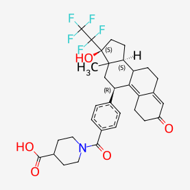 CC12C[C@H](c3ccc(C(=O)N4CCC(C(=O)O)CC4)cc3)C3=C4CCC(=O)C=C4CCC3[C@@H]1CC[C@@]2(O)C(F)(F)C(F)(F)F